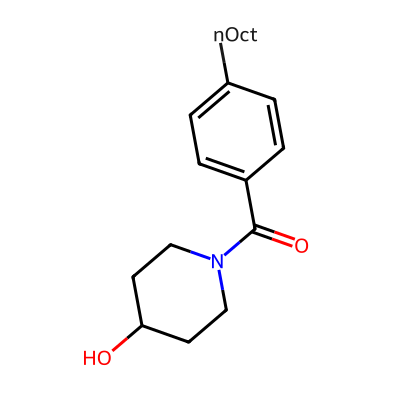 CCCCCCCCc1ccc(C(=O)N2CCC(O)CC2)cc1